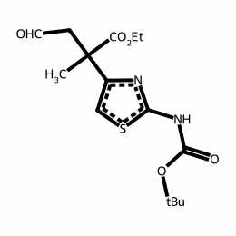 CCOC(=O)C(C)(CC=O)c1csc(NC(=O)OC(C)(C)C)n1